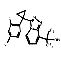 CC(C)(O)c1cccn2c(C3(c4ccc(Cl)cc4F)CC3)nnc12